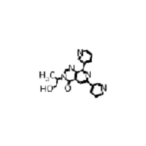 CC(CO)n1cnc2c(-c3cccnc3)nc(-c3cccnc3)cc2c1=O